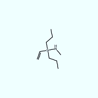 C=C[Si](CCC)(CCC)NC